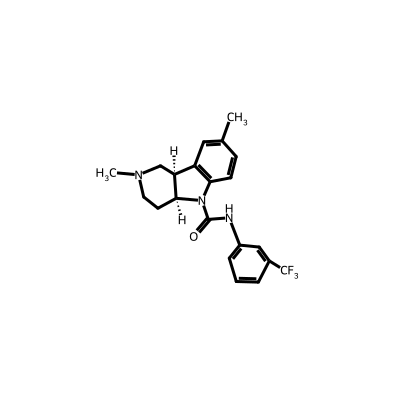 Cc1ccc2c(c1)[C@@H]1CN(C)CC[C@@H]1N2C(=O)Nc1cccc(C(F)(F)F)c1